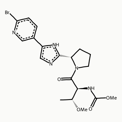 COC(=O)N[C@H](C(=O)N1CCC[C@H]1c1ncc(-c2ccc(Br)nc2)[nH]1)[C@@H](C)OC